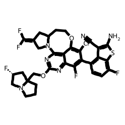 N#Cc1c(N)sc2c(F)ccc(-c3c(Cl)c4c5c(nc(OCC67CCCN6C[C@H](F)C7)nc5c3F)N3CC(=C(F)F)CC3CCO4)c12